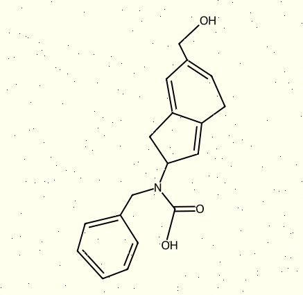 O=C(O)N(Cc1ccccc1)C1C=C2CC=C(CO)C=C2C1